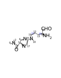 CN(C)C(=O)c1cnc(N(C)/C=C\C=C(\N)C=O)cn1